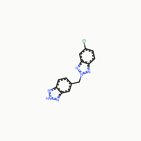 Clc1ccc2nn(Cc3ccc4n[nH]nc4c3)nc2c1